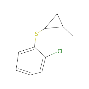 CC1CC1Sc1ccccc1Cl